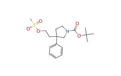 CC(C)(C)OC(=O)N1CCC(CCOS(C)(=O)=O)(c2ccccc2)C1